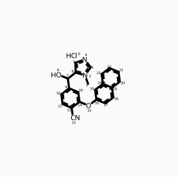 Cl.Cn1cncc1C(O)c1ccc(C#N)c(Oc2ccc3ccccc3c2)c1